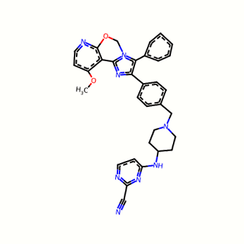 COc1ccnc2c1-c1nc(-c3ccc(CN4CCC(Nc5ccnc(C#N)n5)CC4)cc3)c(-c3ccccc3)n1CO2